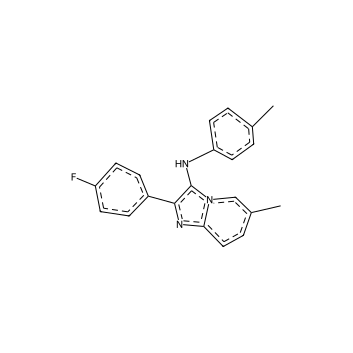 Cc1ccc(Nc2c(-c3ccc(F)cc3)nc3ccc(C)cn23)cc1